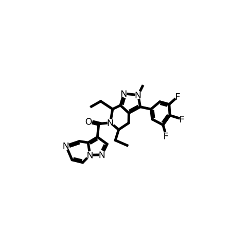 CCC1Cc2c(nn(C)c2-c2cc(F)c(F)c(F)c2)C(CC)N1C(=O)c1cnn2ccncc12